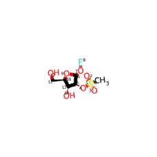 CS(=O)(=O)O[C@H]1C(OF)O[C@H](CO)[C@H]1O